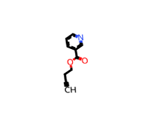 C#CCCOC(=O)c1cccnc1